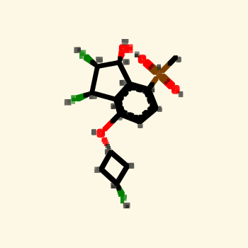 CS(=O)(=O)c1ccc(O[C@H]2C[C@H](F)C2)c2c1[C@H](O)[C@H](F)[C@@H]2F